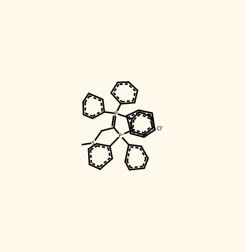 CSCC(=P(c1ccccc1)(c1ccccc1)c1ccccc1)[P+](c1ccccc1)(c1ccccc1)c1ccccc1.[Cl-]